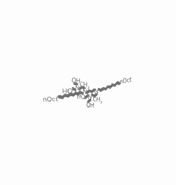 CCCCCCCC/C=C/CCCCCCCCN(CCCCN(CCCCCCCC/C=C/CCCCCCCC)CC(C)CN(CCO)CCO)CC(C)CN(CCO)CCO